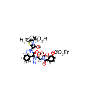 CCOC(=O)Oc1cccc2c(=O)n(CC(=O)N[C@@H](C(=O)N[C@@H]3C(=O)N4C3SC(C)(C)C4C(=O)O)c3ccccc3)c(=O)oc12